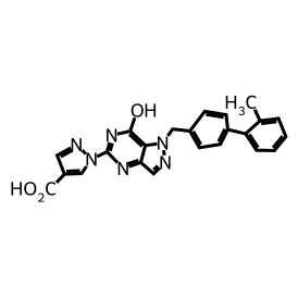 Cc1ccccc1-c1ccc(Cn2ncc3nc(-n4cc(C(=O)O)cn4)nc(O)c32)cc1